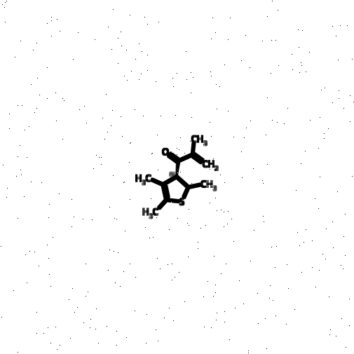 C=C(C)C(=O)[C@@H]1C(C)=C(C)SC1C